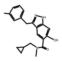 Cc1cccc(Cc2n[nH]c3cc(O)c(C(=O)N(C)CC4CC4)cc23)c1